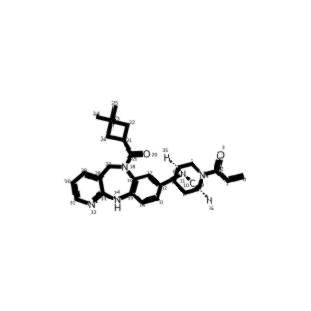 C=CC(=O)N1C[C@@H]2CC[C@H]1CN2c1ccc2c(c1)N(C(=O)C1CC(C)(C)C1)Cc1cccnc1N2